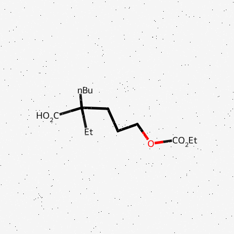 CCCCC(CC)(CCCOC(=O)OCC)C(=O)O